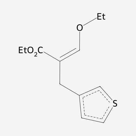 CCOC=C(Cc1ccsc1)C(=O)OCC